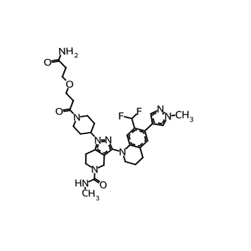 CNC(=O)N1CCc2c(c(N3CCCc4cc(-c5cnn(C)c5)c(C(F)F)cc43)nn2C2CCN(C(=O)CCOCCC(N)=O)CC2)C1